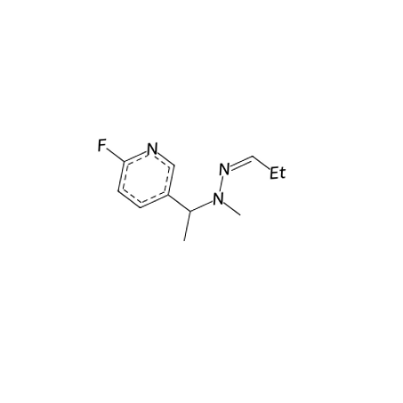 CC/C=N\N(C)C(C)c1ccc(F)nc1